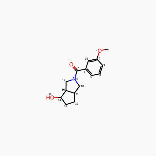 COc1cccc(C(=O)N2CC3CCC(O)C3C2)c1